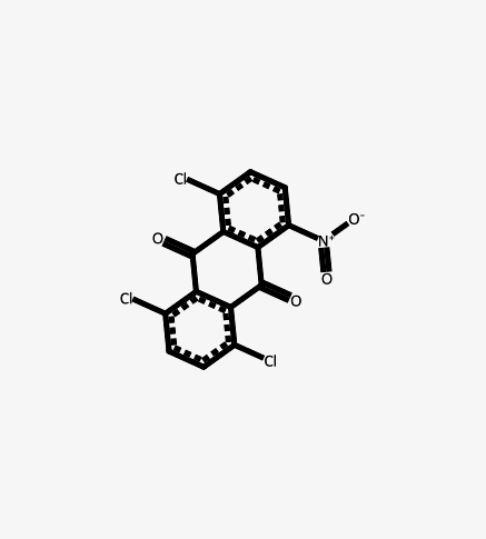 O=C1c2c(Cl)ccc(Cl)c2C(=O)c2c([N+](=O)[O-])ccc(Cl)c21